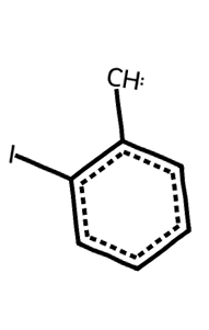 [CH]c1ccccc1I